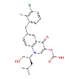 CC(C)C[C@@H](CO)n1cc(OC(=O)O)c(=O)c2cc(Cc3cccc(Cl)c3F)ccc21